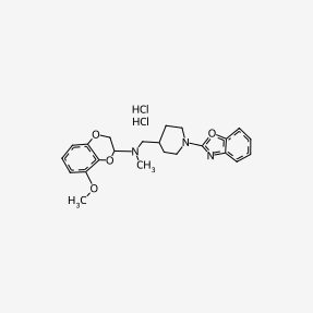 COc1cccc2c1OC(N(C)CC1CCN(c3nc4ccccc4o3)CC1)CO2.Cl.Cl